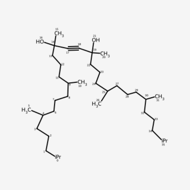 CC(C)CCCC(C)CCCC(C)CCCC(C)(O)C#CC(C)(O)CCCC(C)CCCC(C)CCCC(C)C